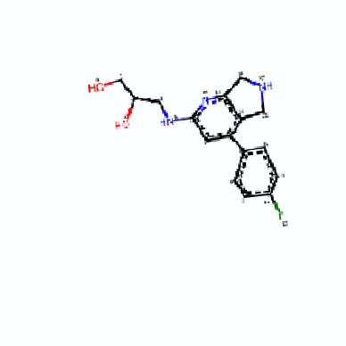 OCC(O)CNc1cc(-c2ccc(F)cc2)c2c(n1)CNC2